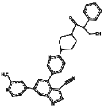 Cc1cc(-c2cc(-c3ccc(N4CCN(C(=O)C(CO)c5ccccc5)CC4)nc3)c3c(C#N)cnn3c2)ccn1